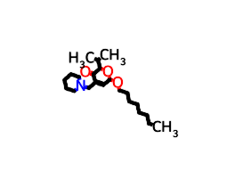 CCCCCCCCOC1C=C(CN2CCCCC2)C(=O)C(C(C)C)O1